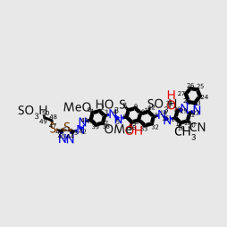 COc1cc(N=Nc2c(S(=O)(=O)O)cc3c(S(=O)(=O)O)c(N=Nc4c(C)c(C#N)c5nc6ccccc6n5c4O)ccc3c2O)c(OC)cc1N=Nc1nnc(SCCS(=O)(=O)O)s1